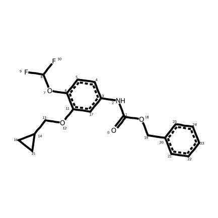 O=C(Nc1ccc(OC(F)F)c(OCC2CC2)c1)OCc1ccccc1